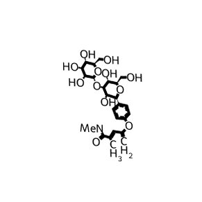 C=C(/C=C(\C)C(=O)NC)Oc1ccc([C@H]2O[C@H](CO)[C@@H](O)[C@H](O[C@H]3O[C@H](CO)[C@@H](O)[C@H](O)[C@@H]3O)[C@@H]2O)cc1